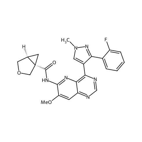 COc1cc2ncnc(-c3cn(C)nc3-c3ccccc3F)c2nc1NC(=O)[C@]12COC[C@H]1C2